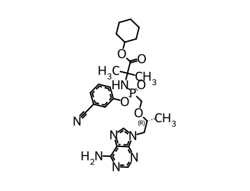 C[C@H](Cn1cnc2c(N)ncnc21)OCP(=O)(NC(C)(C)C(=O)OC1CCCCC1)Oc1cccc(C#N)c1